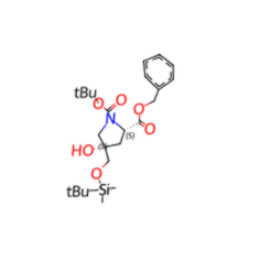 CC(C)(C)OC(=O)N1C[C@](O)(CO[Si](C)(C)C(C)(C)C)C[C@H]1C(=O)OCc1ccccc1